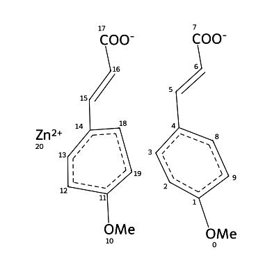 COc1ccc(C=CC(=O)[O-])cc1.COc1ccc(C=CC(=O)[O-])cc1.[Zn+2]